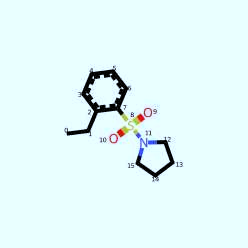 CCc1ccccc1S(=O)(=O)N1CCCC1